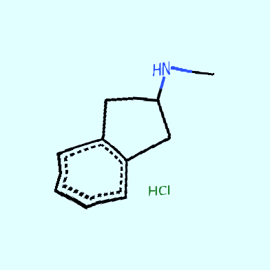 CNC1Cc2ccccc2C1.Cl